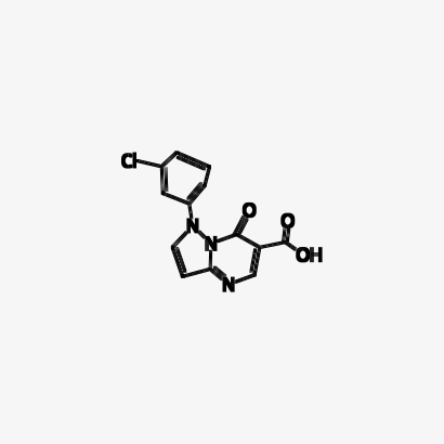 O=C(O)c1cnc2ccn(-c3cccc(Cl)c3)n2c1=O